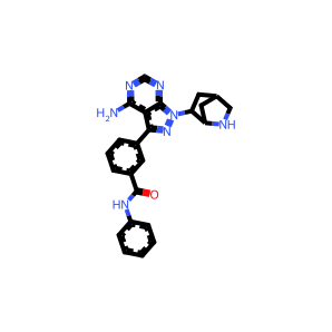 Nc1ncnc2c1c(-c1cccc(C(=O)Nc3ccccc3)c1)nn2C1CC2CNC1C2